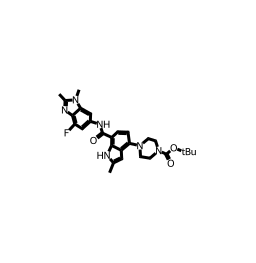 Cc1cc2c(N3CCN(C(=O)OC(C)(C)C)CC3)ccc(C(=O)Nc3cc(F)c4nc(C)n(C)c4c3)c2[nH]1